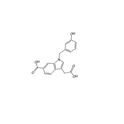 O=C(O)Cc1cn(Cc2cccc(O)c2)c2cc(C(=O)O)ccc12